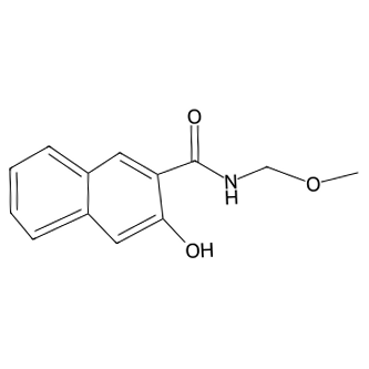 COCNC(=O)c1cc2ccccc2cc1O